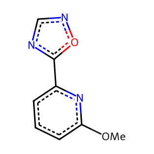 COc1cccc(-c2ncno2)n1